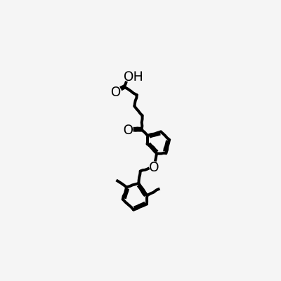 Cc1cccc(C)c1COc1cccc(C(=O)CCCC(=O)O)c1